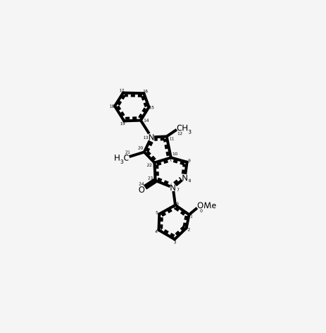 COc1ccccc1-n1ncc2c(C)n(-c3ccccc3)c(C)c2c1=O